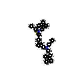 CC1(C)c2cc(N(c3ccc(-c4ccccc4)cc3)c3ccc(-c4ccc5c(c4)C4(c6ccccc6-c6ccccc64)c4ccccc4-5)cc3)ccc2-c2cccc(-c3ccc(-c4ccc5c(c4)Sc4cc(-c6ccccc6)ccc4N5c4ccc5c(c4)C4(c6ccccc6-c6ccccc64)c4ccccc4-5)cc3)c21